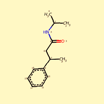 CC(C)NC(=O)CC(C)c1ccccc1